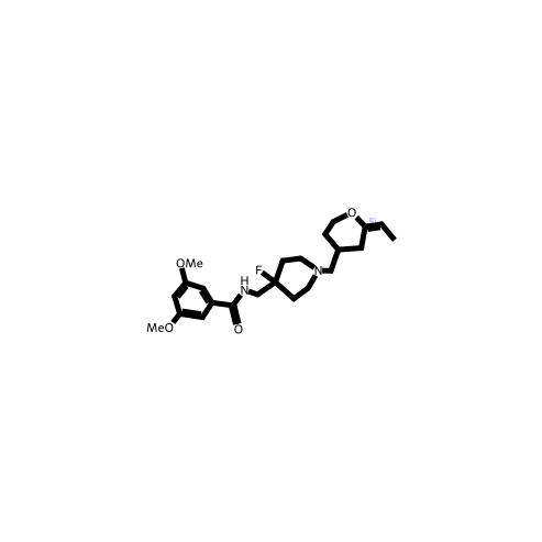 C/C=C1\CC(CN2CCC(F)(CNC(=O)c3cc(OC)cc(OC)c3)CC2)CCO1